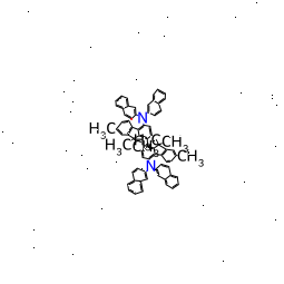 Cc1ccc2c(c1)C(C)(C)c1c(-c3ccc(N(c4ccc5ccccc5c4)c4ccc5ccccc5c4)c4c3C(C)(C)c3cc(C)ccc3-4)ccc(N(c3ccc4ccccc4c3)c3ccc4ccccc4c3)c1-2